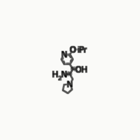 CC(C)Oc1cc([C@@H](O)[C@H](N)CN2CCCC2)ccn1